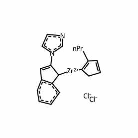 CCCC1=[C]([Zr+2][CH]2C(n3ccnc3)=Cc3ccccc32)CC=C1.[Cl-].[Cl-]